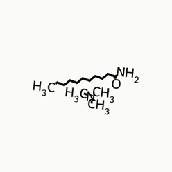 CCCCCCCCCCC(N)=O.CN(C)C